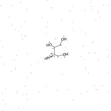 CCC[C@H](CO)C(O)CO